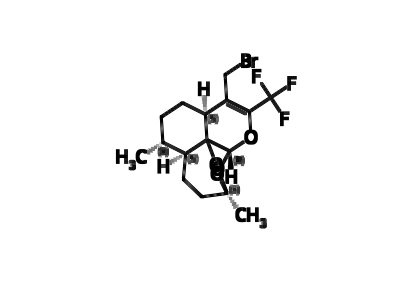 C[C@@H]1CC[C@H]2C(CBr)=C(C(F)(F)F)O[C@@H]3O[C@]4(C)CC[C@@H]1C32OO4